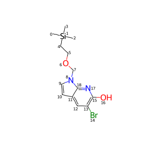 C[Si](C)(C)CCOCn1ccc2cc(Br)c(O)nc21